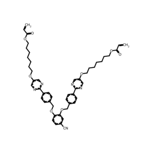 C=CC(=O)OCCCCCCCOc1cnc(-c2ccc(COc3ccc(C#N)cc3OCc3ccc(-c4ncc(OCCCCCCCOC(=O)C=C)cn4)cc3)cc2)nc1